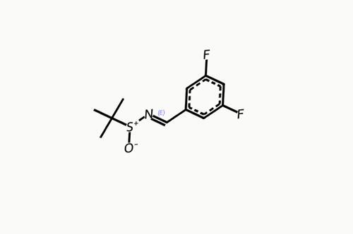 CC(C)(C)[S+]([O-])/N=C/c1cc(F)cc(F)c1